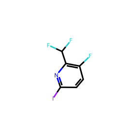 Fc1ccc(I)nc1C(F)F